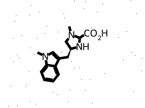 CN1C[C@H](Cc2cn(C)c3ccccc23)NC1C(=O)O